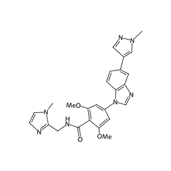 COc1cc(-n2cnc3cc(-c4cnn(C)c4)ccc32)cc(OC)c1C(=O)NCc1nccn1C